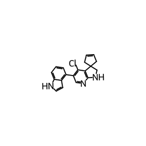 Clc1c(-c2cccc3[nH]ccc23)cnc2c1C1(CC=CC1)CN2